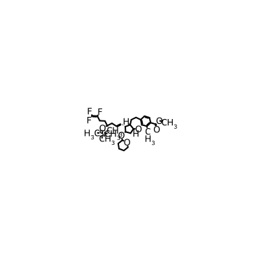 COC(=O)c1ccc2c(c1C)O[C@H]1C[C@@H](OC3CCCCO3)[C@H](/C=C/C[C@](C)(CCC(F)=C(F)F)O[Si](C)(C)C)[C@H]1CC2